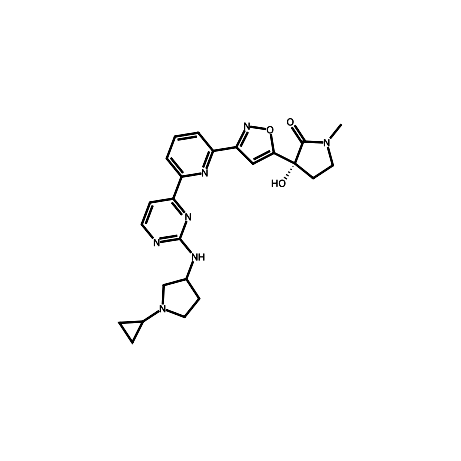 CN1CC[C@@](O)(c2cc(-c3cccc(-c4ccnc(NC5CCN(C6CC6)C5)n4)n3)no2)C1=O